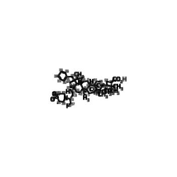 CC1(C)[C@H]2CC[C@]3(C)[C@H](CC[C@@H]4[C@H]5[C@@](NC[C@@H](CF)N6CCS(=O)(=O)CC6)(CC[C@]5(Cc5ccccc5)C5(C)CC5)CC[C@]43C)[C@]2(C)CC[C@@H]1[C@@]1(C(=O)O)C[C@@H](C(=O)O)C1(C)C